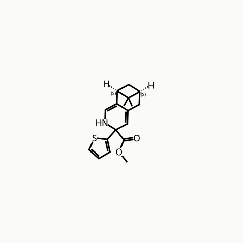 COC(=O)C1(c2cccs2)C=C2C[C@@H]3C[C@H](C2=CN1)C3(C)C